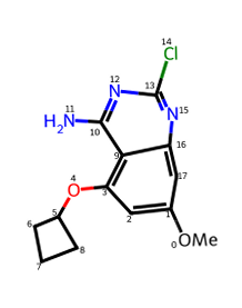 COc1cc(OC2CCC2)c2c(N)nc(Cl)nc2c1